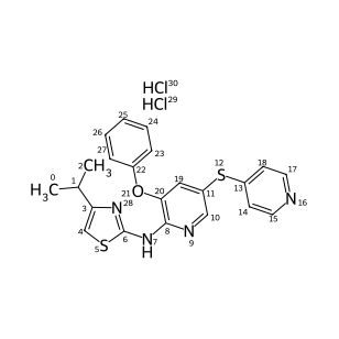 CC(C)c1csc(Nc2ncc(Sc3ccncc3)cc2Oc2ccccc2)n1.Cl.Cl